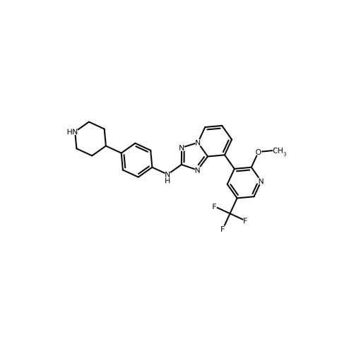 COc1ncc(C(F)(F)F)cc1-c1cccn2nc(Nc3ccc(C4CCNCC4)cc3)nc12